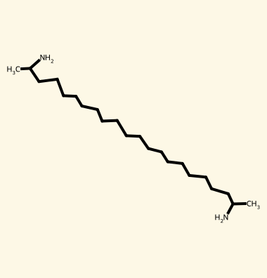 CC(N)CCCCCCCCCCCCCCCCCCC(C)N